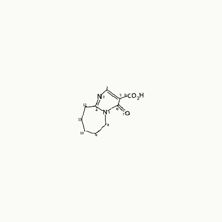 O=C(O)c1cnc2n(c1=O)CCCCC2